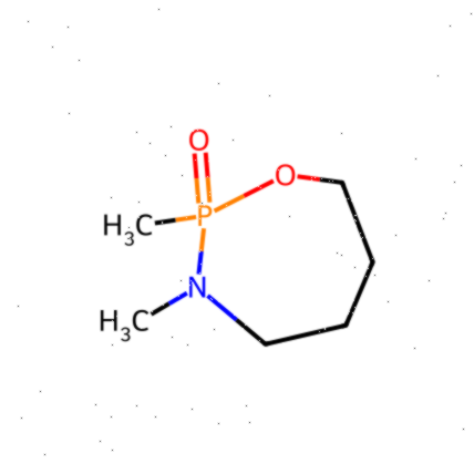 CN1CCCCOP1(C)=O